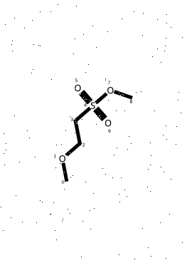 COCCS(=O)(=O)OC